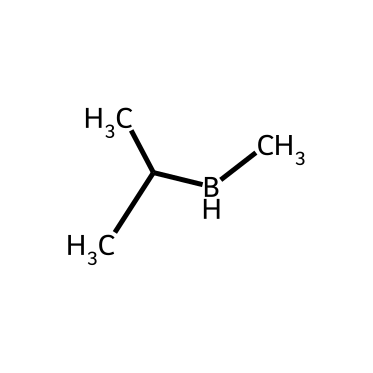 CBC(C)C